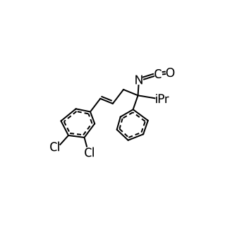 CC(C)C(CC=Cc1ccc(Cl)c(Cl)c1)(N=C=O)c1ccccc1